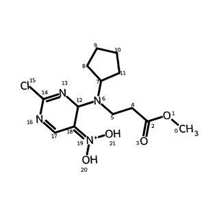 COC(=O)CCN(C1CCCC1)C1N=C(Cl)N=CC1=[N+](O)O